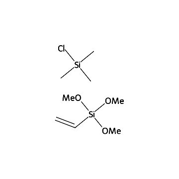 C=C[Si](OC)(OC)OC.C[Si](C)(C)Cl